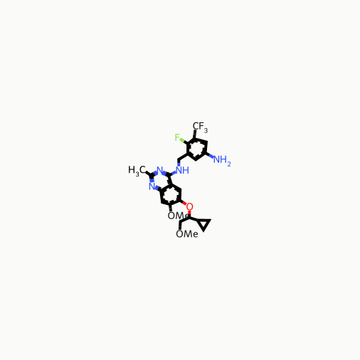 COCC(Oc1cc2c(NCc3cc(N)cc(C(F)(F)F)c3F)nc(C)nc2cc1OC)C1CC1